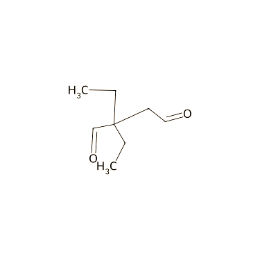 CCC(C=O)(CC)CC=O